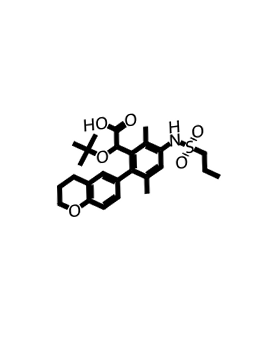 CCCS(=O)(=O)Nc1cc(C)c(-c2ccc3c(c2)CCCO3)c(C(OC(C)(C)C)C(=O)O)c1C